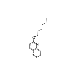 CCCCCCOc1ccc2ccccc2n1